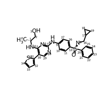 C[C@H](CO)Nc1nc(Nc2ccc(S(=O)(=NCC3CC3)c3ccccc3)cc2)ncc1-c1cccs1